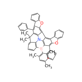 Cc1cc(C)c(B2c3cccc4c3-n3c5c(c(-c6ccccc6)c6c7ccccc7oc6c5c5c6c(oc7ccccc76)c(-c6ccccc6)c2c53)C4(C)C)c(C)c1